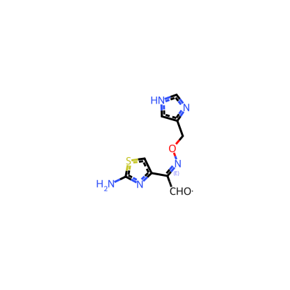 Nc1nc(/C([C]=O)=N\OCc2c[nH]cn2)cs1